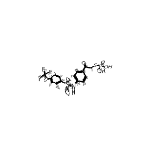 O=C(CSP(=O)(O)O)c1ccc(NS(=O)(=O)c2ccc(OC(F)(F)F)cc2)cc1